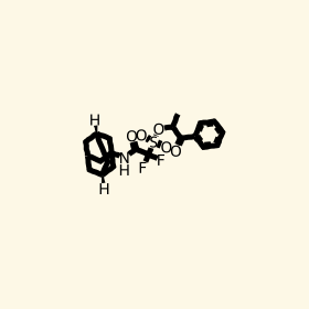 CC(OS(=O)(=O)C(F)(F)C(=O)NC12CC3C[C@H](C1)C[C@@H](C3)C2)C(=O)c1ccccc1